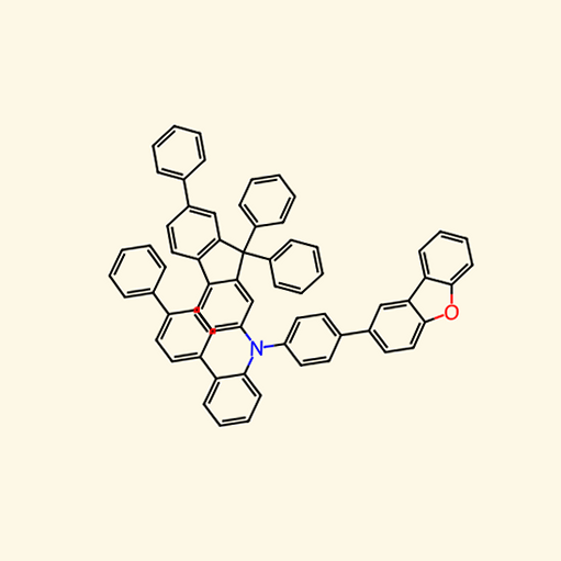 c1ccc(-c2ccc(-c3ccccc3N(c3ccc(-c4ccc5oc6ccccc6c5c4)cc3)c3ccc4c(c3)C(c3ccccc3)(c3ccccc3)c3cc(-c5ccccc5)ccc3-4)cc2)cc1